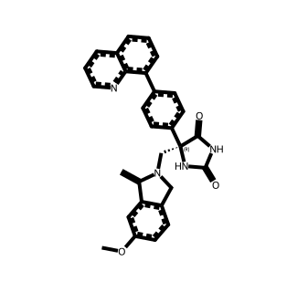 C=C1c2cc(OC)ccc2CN1C[C@@]1(c2ccc(-c3cccc4cccnc34)cc2)NC(=O)NC1=O